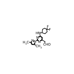 Cc1cc(C)n(-c2nc(CC=O)cc(NC3CCC(F)(F)CC3)n2)n1